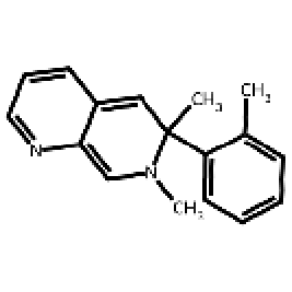 Cc1ccccc1C1(C)C=c2cccnc2=CN1C